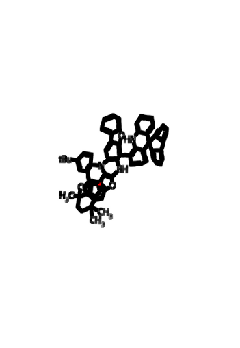 CC(C)(C)c1ccc(N2c3cc4c(oc5ccccc54)c(-c4cccc5c4Nc4ccccc4C54c5ccccc5-c5ccccc54)c3Bc3oc4cc5c(cc4c32)C(C)(C)CCC5(C)C)c(-c2ccccc2)c1